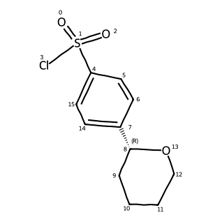 O=S(=O)(Cl)c1ccc([C@H]2CCCCO2)cc1